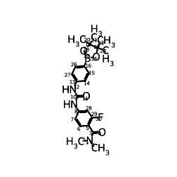 CN(C)C(=O)c1ccc(NC(=O)Nc2ccc(B3OC(C)(C)C(C)(C)O3)cc2)cc1F